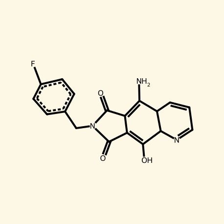 NC1=C2C(=O)N(Cc3ccc(F)cc3)C(=O)C2=C(O)C2N=CC=CC12